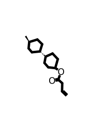 C=CCC(=O)OC1CCC([C@H]2CC[C@H](C)CC2)CC1